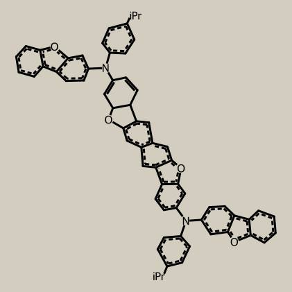 CC(C)c1ccc(N(C2=CC3Oc4cc5cc6c(cc5cc4C3C=C2)oc2cc(N(c3ccc(C(C)C)cc3)c3ccc4c(c3)oc3ccccc34)ccc26)c2ccc3c(c2)oc2ccccc23)cc1